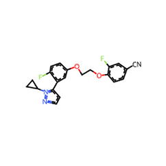 N#Cc1ccc(OCCOc2ccc(F)c(-c3ccnn3C3CC3)c2)c(F)c1